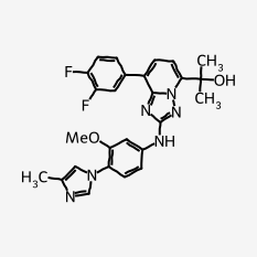 COc1cc(Nc2nc3c(-c4ccc(F)c(F)c4)ccc(C(C)(C)O)n3n2)ccc1-n1cnc(C)c1